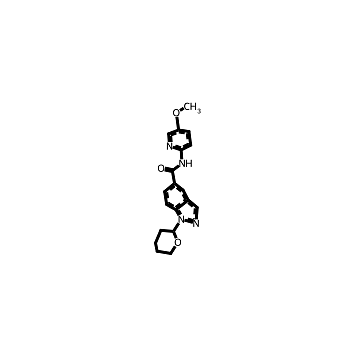 COc1ccc(NC(=O)c2ccc3c(cnn3C3CCCCO3)c2)nc1